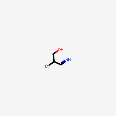 CCC(C=N)CO